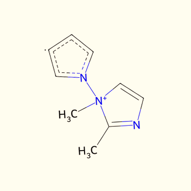 CC1=NC=C[N+]1(C)n1c[c]cc1